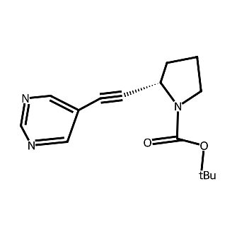 CC(C)(C)OC(=O)N1CCC[C@H]1C#Cc1cncnc1